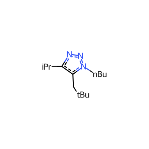 CCCCn1nnc(C(C)C)c1CC(C)(C)C